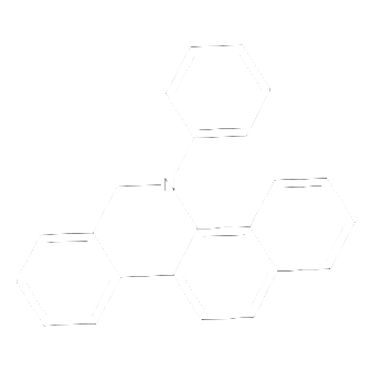 c1ccc(N2Cc3ccccc3-c3ccc4ccccc4c32)cc1